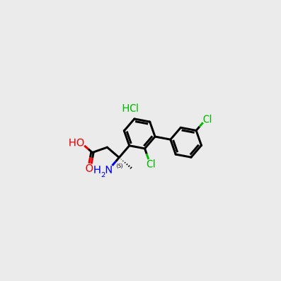 C[C@](N)(CC(=O)O)c1cccc(-c2cccc(Cl)c2)c1Cl.Cl